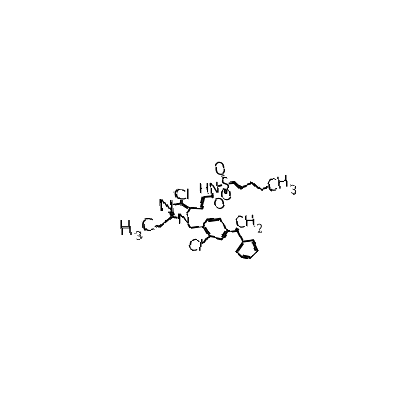 C=C(c1ccccc1)c1ccc(Cn2c(CC)nc(Cl)c2C=CC(=O)NS(=O)(=O)C=CCCC)c(Cl)c1